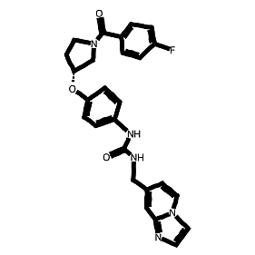 O=C(NCc1ccn2ccnc2c1)Nc1ccc(O[C@@H]2CCN(C(=O)c3ccc(F)cc3)C2)cc1